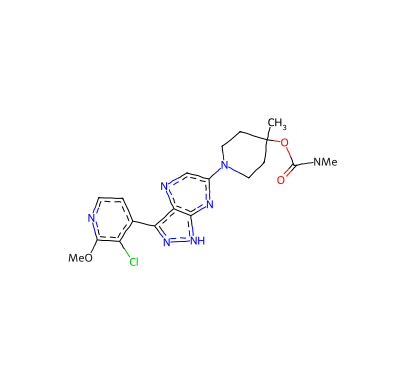 CNC(=O)OC1(C)CCN(c2cnc3c(-c4ccnc(OC)c4Cl)n[nH]c3n2)CC1